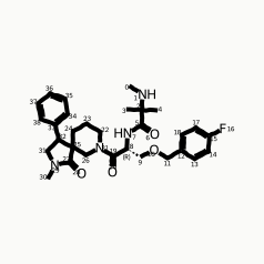 CNC(C)(C)C(=O)N[C@H](COCc1ccc(F)cc1)C(=O)N1CCCC2(C1)C(=O)N(C)CC2c1ccccc1